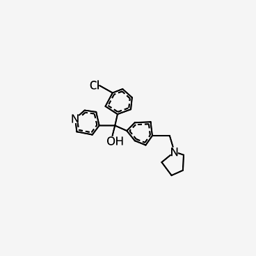 OC(c1ccncc1)(c1ccc(CN2CCCC2)cc1)c1cccc(Cl)c1